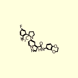 C[C@]1(c2cc(F)ccc2F)CCCN1c1ccn2ncc(C(=O)Nc3ccc4c(c3)OCCO4)c2c1